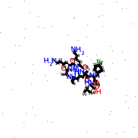 C/C=C\CCCC(C)(NC(=O)[C@H](CCCCN)NC(=O)[C@H](CCCCN)NC(=O)[C@H](C)N)C(=O)N[C@@H](Cc1ccc(Br)cc1)C(=O)N[C@@H](CC(C)C)C(=O)O